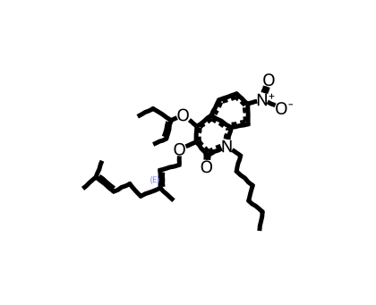 CC=C(CC)Oc1c(OC/C=C(\C)CCC=C(C)C)c(=O)n(CCCCCC)c2cc([N+](=O)[O-])ccc12